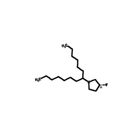 CCCCCCCC(CCCCCC)N1CC[C@@H](F)C1